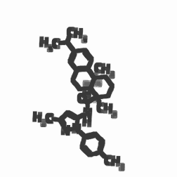 Cc1ccc(-n2nc(C)cc2NC(=O)[C@@]2(C)CCC[C@]3(C)c4ccc(C(C)C)cc4CC[C@@H]23)cc1